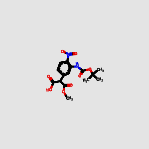 COC(=O)C(C(=O)O)c1ccc([N+](=O)[O-])c(NC(=O)OC(C)(C)C)c1